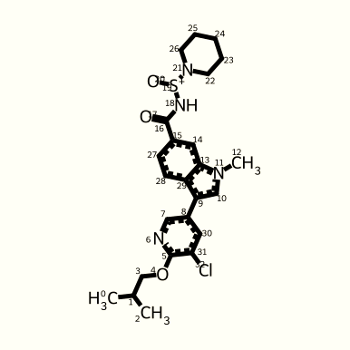 CC(C)COc1ncc(-c2cn(C)c3cc(C(=O)N[S+]([O-])N4CCCCC4)ccc23)cc1Cl